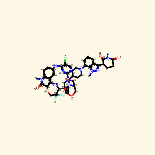 Cn1nc(C2CCC(=O)NC2=O)c2cccc(N3CCC(CN4C5COCC4CN(c4ncc(Cl)c(Nc6ccc7c(c6)c6c(c(=O)n7C)OCC(F)(F)[C@H](C7CC7)N6)n4)C5)CC3)c21